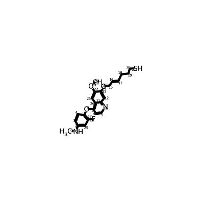 CNc1ccc(Oc2ccnc3cc(OC/C=C/CCCS)c(OC)cc23)c(F)c1